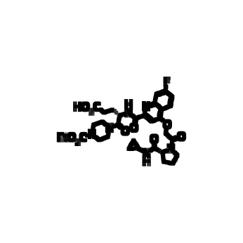 CCOC(=O)N1CCN(C(=O)[C@H](CCC(=O)O)NC(=O)c2cc(OCC(=O)N3CCC[C@H]3C(=O)NC3CC3)c3ccc(F)cc3n2)CC1